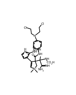 CC(NC(=O)O)(C(=N)N)C1(C(=O)Nc2ccc(N(CCCl)CCCl)cc2)C[N+](C)(C)C=C1c1cc[nH]c1NC(=O)O